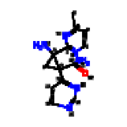 Cc1ccnc(C2(N)CC2(C(N)=O)c2ccncn2)n1